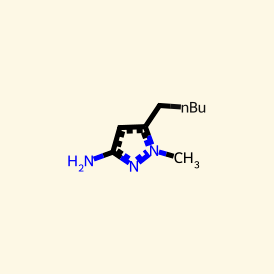 CCCCCc1cc(N)nn1C